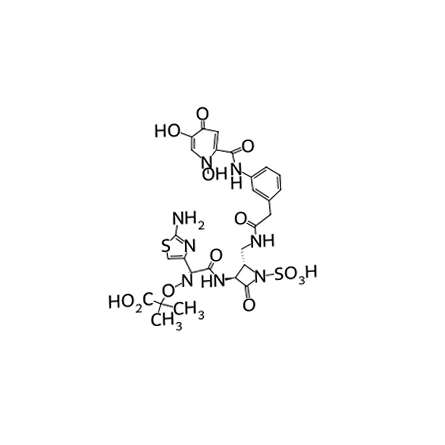 CC(C)(ON=C(C(=O)N[C@@H]1C(=O)N(S(=O)(=O)O)[C@H]1CNC(=O)Cc1cccc(NC(=O)c2cc(=O)c(O)cn2O)c1)c1csc(N)n1)C(=O)O